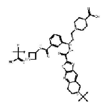 CC(C)(C)[C@H]1CCc2nc3sc(C(=O)N[C@H](CCN4CCC(C(=O)O)CC4)c4cccc(C(=O)NC5CNC5)c4)nc3cc2C1.O=C(O)C(F)(F)F